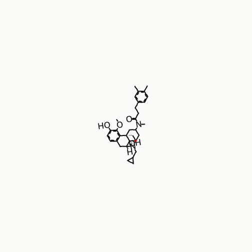 COc1c(O)ccc2c1[C@]13CCN(CC4CC4)[C@H](C2)[C@]1(O)CCC(N(C)C(=O)CCc1ccc(C)c(C)c1)C3